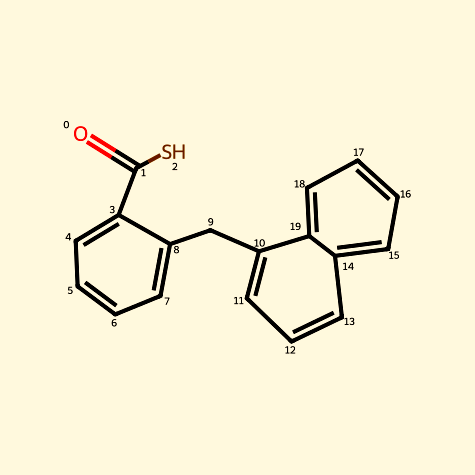 O=C(S)c1ccccc1Cc1cccc2ccccc12